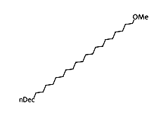 [CH2]OCCCCCCCCCCCCCCCCCCCCCCCCCCCCCC